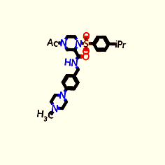 CC(=O)N1CCN(S(=O)(=O)c2ccc(C(C)C)cc2)C(C(=O)NCc2ccc(N3CCN(C)CC3)cc2)C1